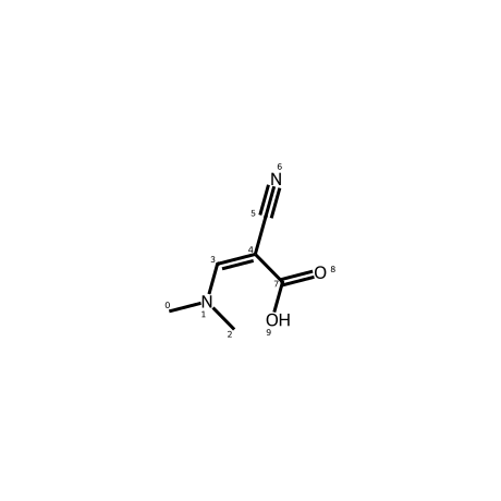 CN(C)/C=C(/C#N)C(=O)O